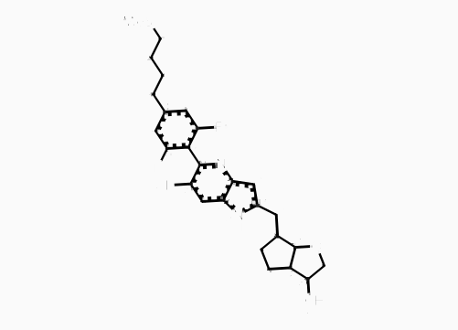 CSCCCCc1cc(F)c(-c2nc3cc(CC4CCC5C(C)COC45)[nH]c3cc2F)c(F)c1